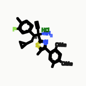 C#CC(N)(c1nc(-c2cc(C)c(OC)cc2OC)c(C)s1)[C@@H](CC1CC1)c1ccc(C)c(F)c1.Cl